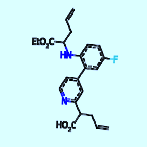 C=CCC(Nc1ccc(F)cc1-c1ccnc(C(CC=C)C(=O)O)c1)C(=O)OCC